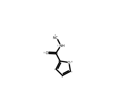 N#CNC(=O)c1ccco1